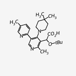 Cc1ccc(-c2cnc(C)c(C(OC(C)(C)C)C(=O)O)c2N2CCC(C)(C)CC2)nc1